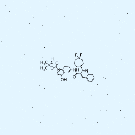 CC(C)(C)OC(=O)n1nc(O)c2cc(NC(=O)c3cc4ccccc4nc3N3CCCC(F)(F)CC3)ccc21